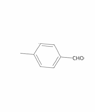 Cc1[c]cc([C]=O)cc1